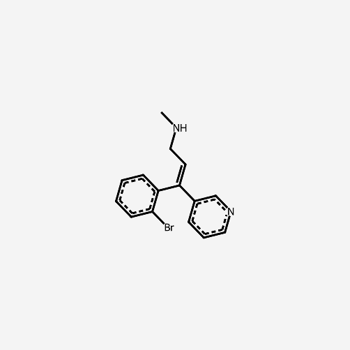 CNCC=C(c1cccnc1)c1ccccc1Br